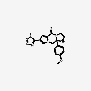 COc1ccc(C23Cn4cc(-c5nnn[nH]5)cc4C(=O)N2CCN3)cc1